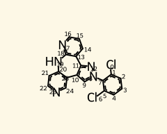 Clc1cccc(Cl)c1-n1cc2c(n1)-c1cccnc1Nc1ccncc1-2